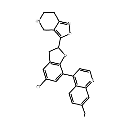 Fc1ccc2c(-c3cc(Cl)cc4c3OC(c3onc5c3CNCC5)C4)ccnc2c1